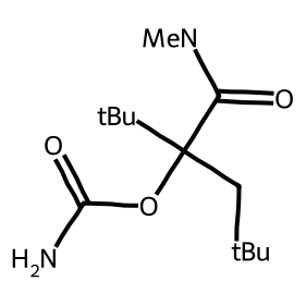 CNC(=O)C(CC(C)(C)C)(OC(N)=O)C(C)(C)C